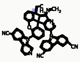 C=NC1=C(/C=C\C)C2(c3ccccc3Oc3c(-n4c5ccc(C#N)cc5c5ccncc54)cccc32)c2cc(-n3c4ccc(C#N)cc4c4cc(C#N)ccc43)cnc21